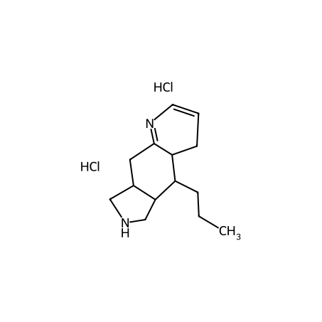 CCCC1C2CC=CN=C2CC2CNCC21.Cl.Cl